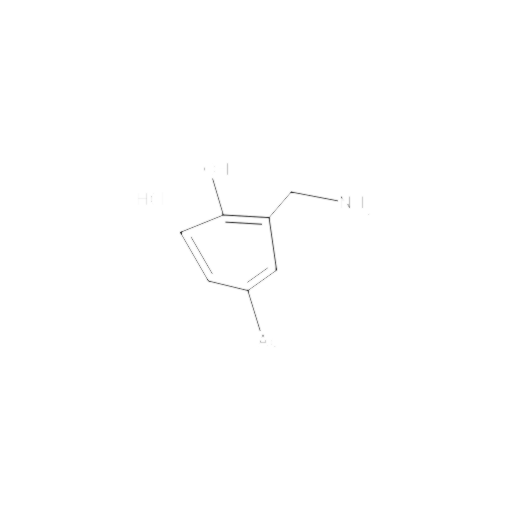 CC(=O)c1ccc(O)c(CN)c1.Cl